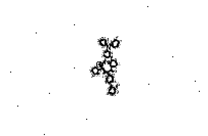 C=C1c2ccccc2N(c2ccc(N(c3ccccc3)c3ccccc3)cc2)Cc2oc3ccccc3c2C(C)C1c1ccc(C2=CC=CCC2C)cc1